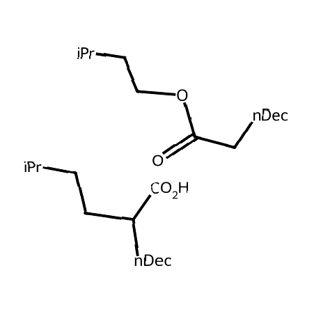 CCCCCCCCCCC(CCC(C)C)C(=O)O.CCCCCCCCCCCC(=O)OCCC(C)C